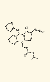 CC(C)OC(=O)OCOc1ccccc1C(Nc1ccccn1)c1cccc(N=[N+]=[N-])c1Cl